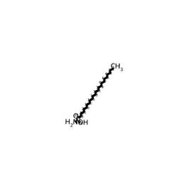 CCCCCCCCCCCCCCCCCCCCCCCCC(=O)N(N)O